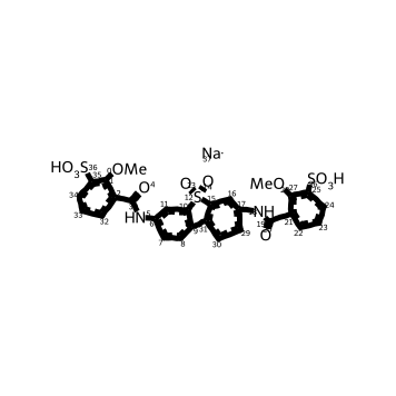 COc1c(C(=O)Nc2ccc3c(c2)S(=O)(=O)c2cc(NC(=O)c4cccc(S(=O)(=O)O)c4OC)ccc2-3)cccc1S(=O)(=O)O.[Na]